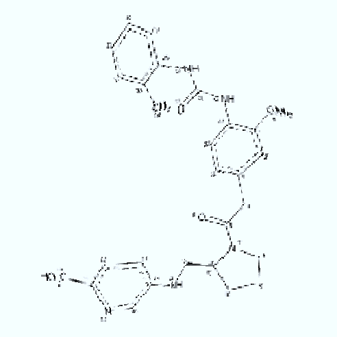 COc1cc(CC(=O)N2CCC[C@H]2CNc2ccc(C(=O)O)nc2)ccc1NC(=O)Nc1ccccc1C